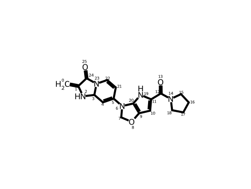 C=C1NC2C=C(N3COc4cc(C(=O)N5CCCC5)[nH]c43)C=CN2C1=O